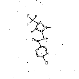 Cn1nc(C(F)(F)F)c(F)c1NC(=O)c1ccc(Cl)nc1